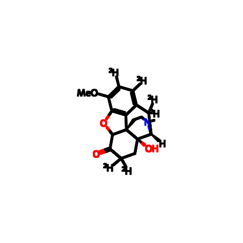 [2H]c1c([2H])c2c3c(c1OC)OC1C(=O)C([2H])([2H])C[C@@]4(O)[C@H](N(C)CC[C@]314)C2([2H])[2H]